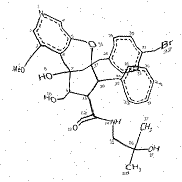 COc1cncc2c1C1(O)C(O)C(C(=O)NCC(C)(C)O)C(c3ccccc3)C1(c1ccc(Br)cc1)O2